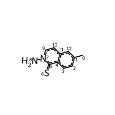 Cc1ccc2c(=S)n(N)ccc2c1